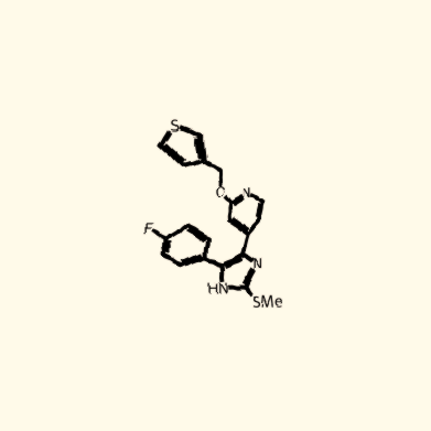 CSc1nc(-c2ccnc(OCc3ccsc3)c2)c(-c2ccc(F)cc2)[nH]1